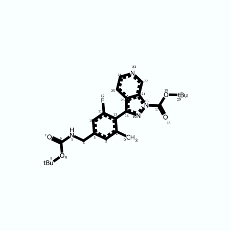 Cc1cc(CNC(=O)OC(C)(C)C)cc(F)c1-c1nn(C(=O)OC(C)(C)C)c2cnccc12